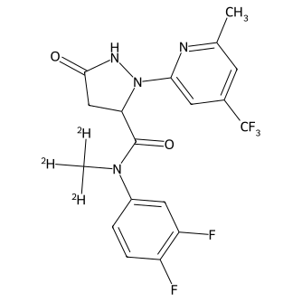 [2H]C([2H])([2H])N(C(=O)C1CC(=O)NN1c1cc(C(F)(F)F)cc(C)n1)c1ccc(F)c(F)c1